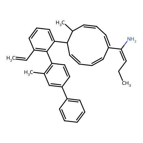 C=Cc1cccc(C2/C=C\C=CC(/C(N)=C\CC)=C\C=C/C2C)c1-c1ccc(-c2ccccc2)cc1C